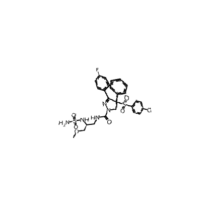 COC[C@H](CNC(=O)N1CC(c2ccccc2)(S(=O)(=O)c2ccc(Cl)cc2)C(c2ccc(F)cc2)=N1)NS(N)(=O)=O